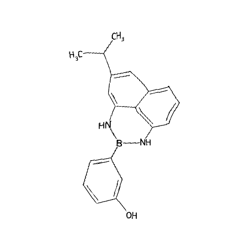 CC(C)c1cc2c3c(cccc3c1)NB(c1cccc(O)c1)N2